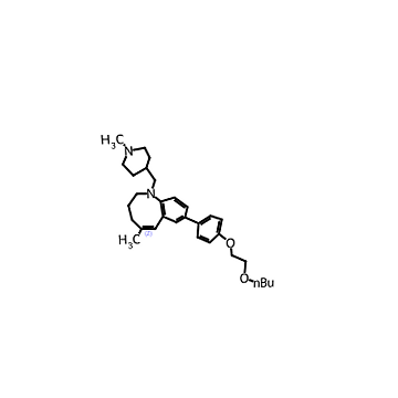 CCCCOCCOc1ccc(-c2ccc3c(c2)/C=C(/C)CCCN3CC2CCN(C)CC2)cc1